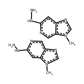 Cn1cnc2cc(NN)ncc21.Cn1cnc2cnc(NN)cc21